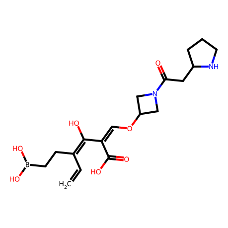 C=C/C(CCB(O)O)=C(O)\C(=C\OC1CN(C(=O)CC2CCCN2)C1)C(=O)O